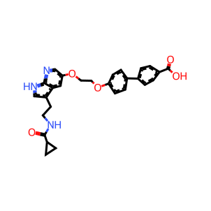 O=C(O)c1ccc(-c2ccc(OCCOc3cnc4[nH]cc(CCNC(=O)C5CC5)c4c3)cc2)cc1